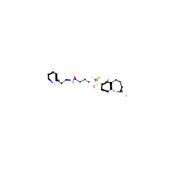 O=C(CCCNS(=O)(=O)c1ccc2c(c1)CCCC(=O)N2)NCCc1ccccn1